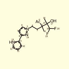 CC(=O)C(C)(CCn1ccc(-c2ccc[nH]2)n1)C(C)(O)C(F)F